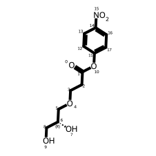 O=C(CCOC[C@H](O)CO)Oc1ccc([N+](=O)[O-])cc1